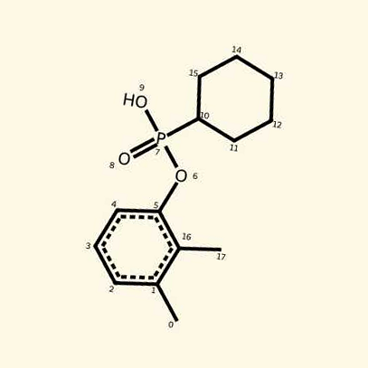 Cc1cccc(OP(=O)(O)C2CCCCC2)c1C